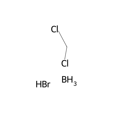 B.Br.ClCCl